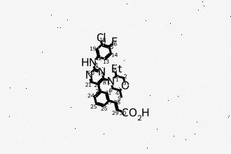 CCC1COC(C)CN1c1nc(Nc2ccc(F)c(Cl)c2)ncc1-c1cccc(C=CC(=O)O)c1